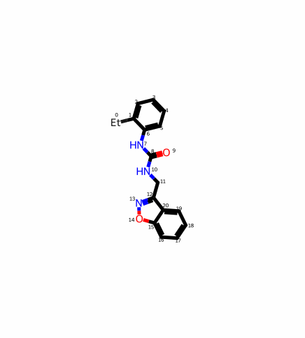 CCc1ccccc1NC(=O)NCc1noc2ccccc12